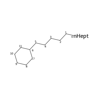 CCCCCCCCCCCCC1[CH]CCCC1